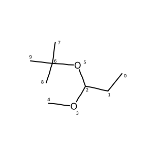 CCC(OC)OC(C)(C)C